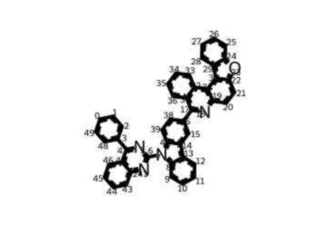 c1ccc(-c2nc(-n3c4ccccc4c4cc(-c5nc6ccc7oc8ccccc8c7c6c6ccccc56)ccc43)nc3ccccc23)cc1